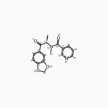 C[C@H](C(=O)c1ccc2c(c1)OCO2)N(C)C(=O)c1cccnc1